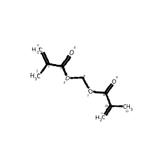 C=C(C)C(=O)OCOC(=O)C(=C)C